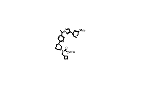 COc1cncc(-c2cn(C(C)c3ccc(N4CCC[C@@H](N(CC5CCC5)C(=O)OC(C)(C)C)C4)nc3)nn2)c1